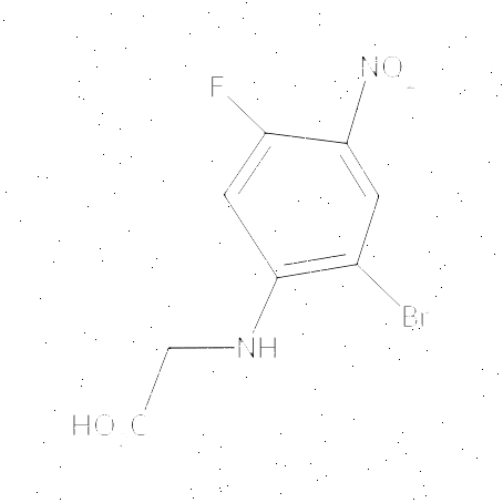 O=C(O)CNc1cc(F)c([N+](=O)[O-])cc1Br